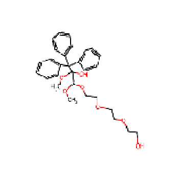 COC(OCCOCCOCCO)C(O)(OC)C(c1ccccc1)(c1ccccc1)c1ccccc1